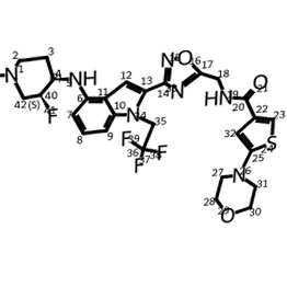 CN1CC[C@@H](Nc2cccc3c2cc(-c2noc(CNC(=O)c4csc(N5CCOCC5)c4)n2)n3CC(F)(F)F)[C@@H](F)C1